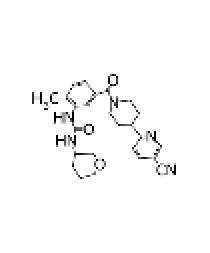 Cc1ccc(C(=O)N2CCC(c3ccc(C#N)cn3)CC2)cc1NC(=O)NC1CCCOC1